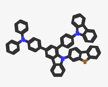 c1ccc(N(c2ccccc2)c2ccc(-c3cc(-c4ccc(-n5c6ccccc6c6ccccc65)cc4)c4c(c3)c3ccccc3n4-c3ccc4c(c3)sc3ccccc34)cc2)cc1